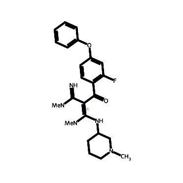 CNC(=N)/C(C(=O)c1ccc(Oc2ccccc2)cc1F)=C(\NC)NC1CCCN(C)C1